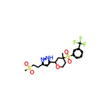 CC1(S(=O)(=O)c2cccc(C(F)(F)F)c2)CCOC(c2cc(CCS(C)(=O)=O)n[nH]2)C1